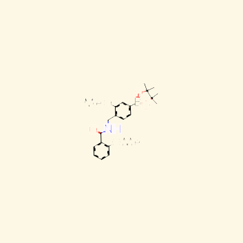 COc1cc(B2OC(C)(C)C(C)(C)O2)ccc1CNC(=O)c1ccccc1OC